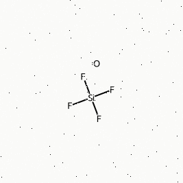 F[Si](F)(F)F.[O]